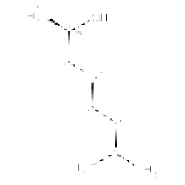 C[C@@H](O)COCCN(C)C